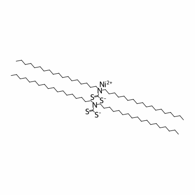 CCCCCCCCCCCCCCCCCCN(CCCCCCCCCCCCCCCCCC)C(=S)[S-].CCCCCCCCCCCCCCCCCCN(CCCCCCCCCCCCCCCCCC)C(=S)[S-].[Ni+2]